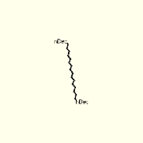 CCCCCCCCCCCCCCC[CH]CCCCCCCCCCCCCCCCCCCC